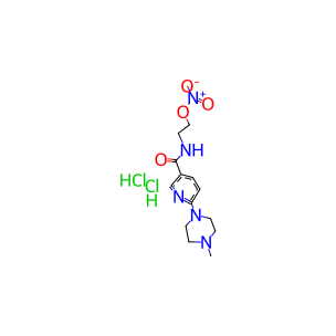 CN1CCN(c2ccc(C(=O)NCCO[N+](=O)[O-])cn2)CC1.Cl.Cl